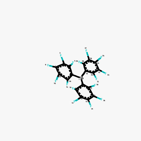 Fc1c(F)c(F)[c]([Sb]([c]2c(F)c(F)c(F)c(F)c2F)[c]2c(F)c(F)c(F)c(F)c2F)c(F)c1F